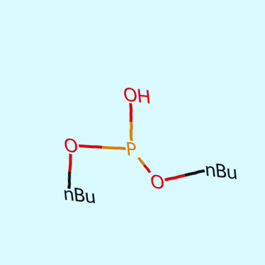 CCCCOP(O)OCCCC